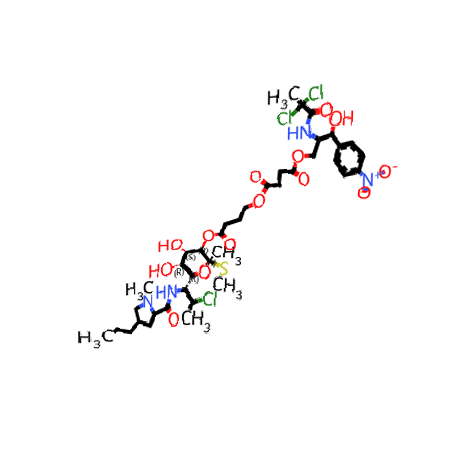 CCCC1CC(C(=O)NC(C(C)Cl)[C@H]2O[C@](C)(SC)[C@H](OC(=O)CCCOC(=O)CCC(=O)OCC(NC(=O)C(C)(Cl)Cl)C(O)c3ccc([N+](=O)[O-])cc3)[C@@H](O)[C@H]2O)N(C)C1